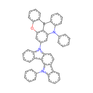 c1ccc(N2c3ccccc3B3c4ccccc4Oc4cc(-n5c6ccccc6c6c5ccc5c7ccccc7n(-c7ccccc7)c56)cc2c43)cc1